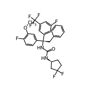 COc1cc([C@@](Cc2ccccc2)(NC(=O)N[C@H]2CCC(F)(F)C2)c2cc(F)cc(C(F)(F)F)c2)ccc1F